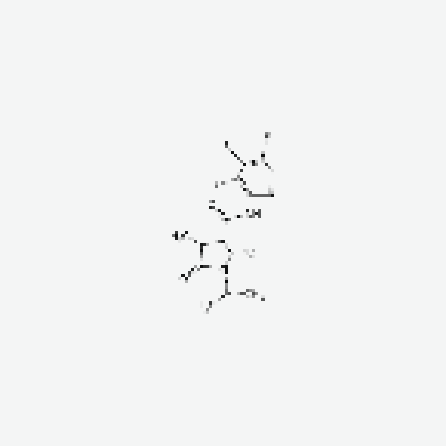 CC1C(=O)N(N(C)C)C(=O)C1C(=O)Nc1ccc(F)c(F)c1F